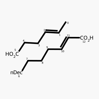 CC=CCCC(=O)O.CCCCCCCCCCCCCC=CC(=O)O